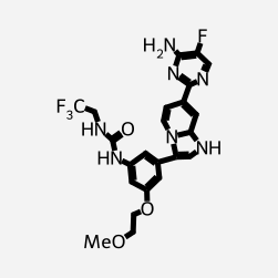 COCCOc1cc(NC(=O)NCC(F)(F)F)cc(C2=CNC3C=C(c4ncc(F)c(N)n4)C=CN23)c1